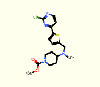 CCCN(Cc1ccc(-c2ccnc(Cl)n2)s1)C1CCN(C(=O)OC(C)(C)C)CC1